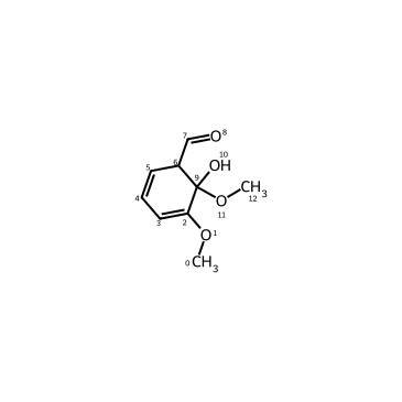 COC1=CC=CC(C=O)C1(O)OC